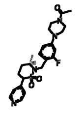 CC(=O)N1CCN(c2ccc(CN3[C@@H](C)CCC(c4ccncc4)S3(=O)=O)c(F)c2)CC1